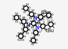 CC(C)(C)c1cc2c(cc1-c1ccccc1)B1c3cc(-c4ccccc4)c(C(C)(C)C)cc3N(c3ccc(-c4ccccc4)cc3)c3cc(-n4c5ccc(-c6ccccc6)cc5c5cc(-c6ccccc6)ccc54)cc(c31)N2c1ccc(-c2ccccc2)cc1